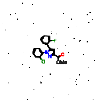 COC(=O)c1cc(-c2ccccc2F)n(-c2ccccc2Cl)n1